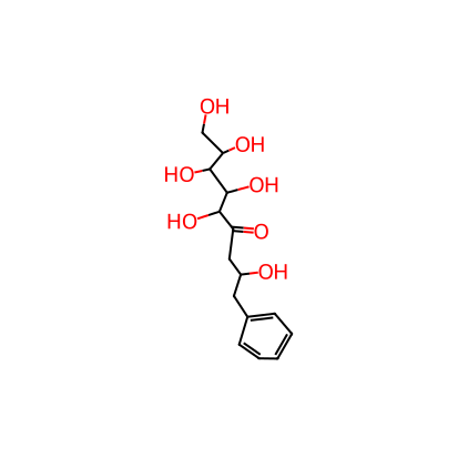 O=C(CC(O)Cc1ccccc1)C(O)C(O)C(O)C(O)CO